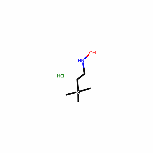 C[Si](C)(C)CCNO.Cl